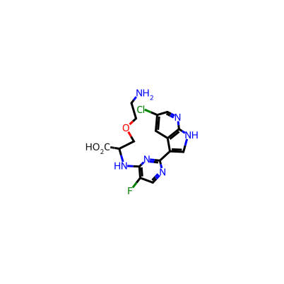 NCCOCC(Nc1nc(-c2c[nH]c3ncc(Cl)cc23)ncc1F)C(=O)O